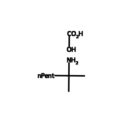 CCCCCC(C)(C)N.O=C(O)O